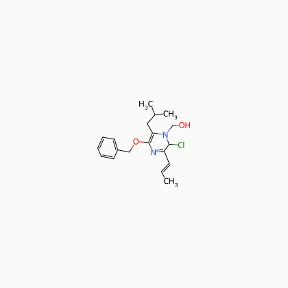 CC=CC1=NC(OCc2ccccc2)=C(CC(C)C)N(CO)C1Cl